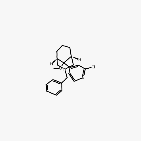 COC1(c2ccnc(Cl)c2)[C@@H]2CCC[C@H]1CN(Cc1ccccc1)C2